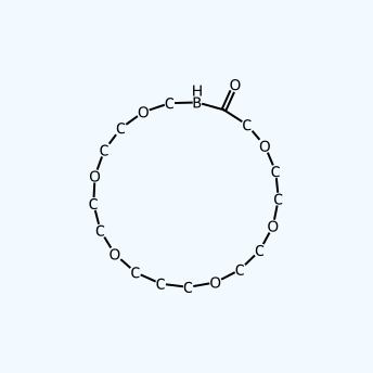 O=C1BCOCCOCCOCCCOCCOCCOC1